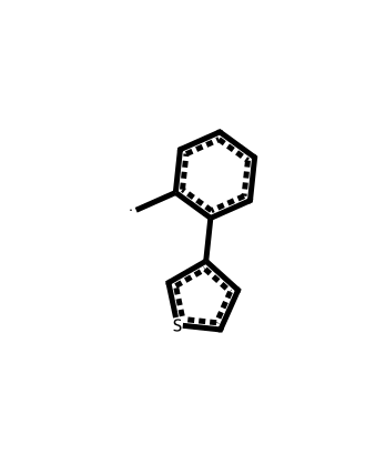 [CH2]c1ccccc1-c1ccsc1